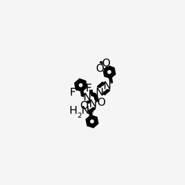 Cc1c(N2CCN(Cc3ccc4c(c3)OCO4)CC2)c(=O)n(C[C@H](N)c2ccccc2)c(=O)n1Cc1c(F)cccc1F